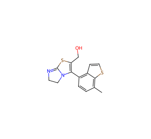 Cc1ccc(C2=C(CO)SC3=NCCN32)c2ccsc12